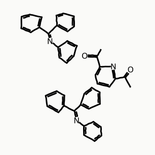 CC(=O)c1cccc(C(C)=O)n1.c1ccc(N=C(c2ccccc2)c2ccccc2)cc1.c1ccc(N=C(c2ccccc2)c2ccccc2)cc1